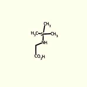 C[Si](C)(C)NCC(=O)O